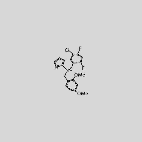 COc1ccc(CN(Sc2cc(Cl)c(F)cc2F)c2nccs2)c(OC)c1